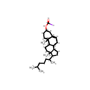 CC(C)CCCC(C)C1CCC2C3CC=C4CC(OC(=O)I)CCC4(C)C3CCC12C